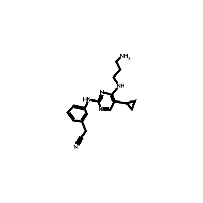 N#CCc1cccc(Nc2ncc(C3CC3)c(NCCCN)n2)c1